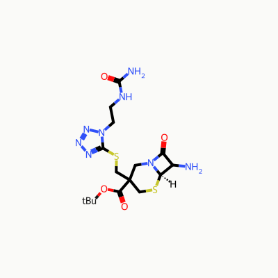 CC(C)(C)OC(=O)C1(CSc2nnnn2CCNC(N)=O)CS[C@@H]2C(N)C(=O)N2C1